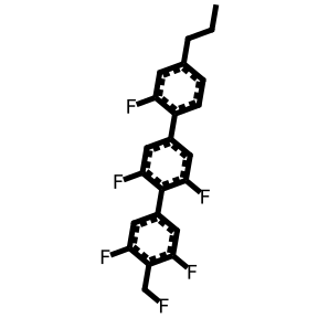 CCCc1ccc(-c2cc(F)c(-c3cc(F)c(CF)c(F)c3)c(F)c2)c(F)c1